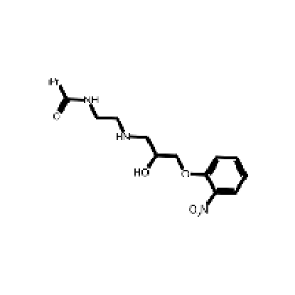 CC(C)C(=O)NCCNCC(O)COc1ccccc1[N+](=O)[O-]